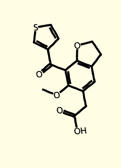 COc1c(CC(=O)O)cc2c(c1C(=O)c1ccsc1)OCC2